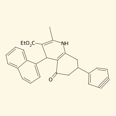 CCOC(=O)C1=C(C)NC2=C(C(=O)CC(c3cc#ccc3)C2)C1c1cccc2ccccc12